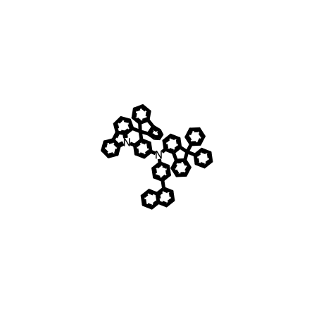 c1ccc(C2(c3ccccc3)c3ccccc3-c3c(N(c4ccc(-c5cccc6ccccc56)cc4)c4ccc5c(c4)C4(c6ccccc6-c6ccccc64)c4cccc6c7ccccc7n-5c46)cccc32)cc1